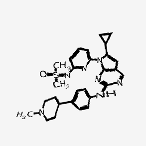 CN1CCC(c2ccc(Nc3ncc4cc(C5CC5)n(-c5cccc(N=S(C)(C)=O)n5)c4n3)cc2)CC1